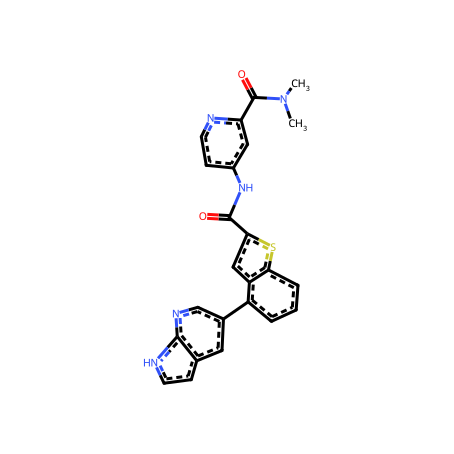 CN(C)C(=O)c1cc(NC(=O)c2cc3c(-c4cnc5[nH]ccc5c4)cccc3s2)ccn1